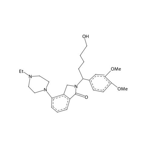 CCN1CCN(c2cccc3c2CN(C(CCCCO)c2ccc(OC)c(OC)c2)C3=O)CC1